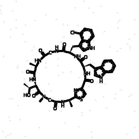 C[C@H]1NC(=O)CNC(=O)[C@H](Cc2c[nH]c3cccc(Cl)c23)NC(=O)[C@H](Cc2c[nH]c3ccccc23)NC(=O)c2csc(n2)[C@@H](C)NC(=O)CN(C)C(=O)[C@H]([C@@H](C)O)NC1=O